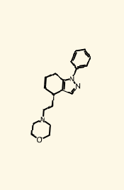 c1ccc(-n2ncc3c2CCC[C@@H]3CCN2CCOCC2)cc1